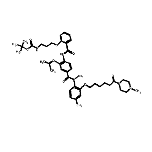 Cc1ccc(N(C)C(=O)c2ccc(NC(=O)c3ccccc3OCCCNC(=O)OC(C)(C)C)c(OC(C)C)c2)c(OCCCCCC(=O)N2CCN(C)CC2)c1